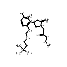 C[Si](C)(C)CCOCOc1ccc(Cl)c(Cl)c1C1CC(=N)N(CC(=O)CCO)C1